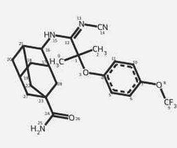 CC(C)(Oc1ccc(OC(F)(F)F)cc1)/C(=N\C#N)NC1C2CC3CC1CC(C(N)=O)(C3)C2